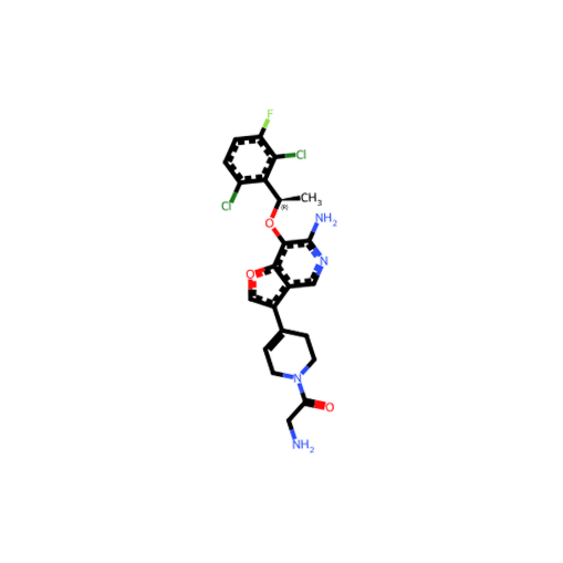 C[C@@H](Oc1c(N)ncc2c(C3=CCN(C(=O)CN)CC3)coc12)c1c(Cl)ccc(F)c1Cl